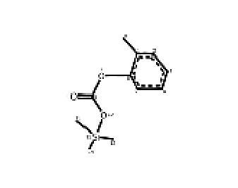 Cc1ccccc1OC(=O)O[Si](C)(C)C